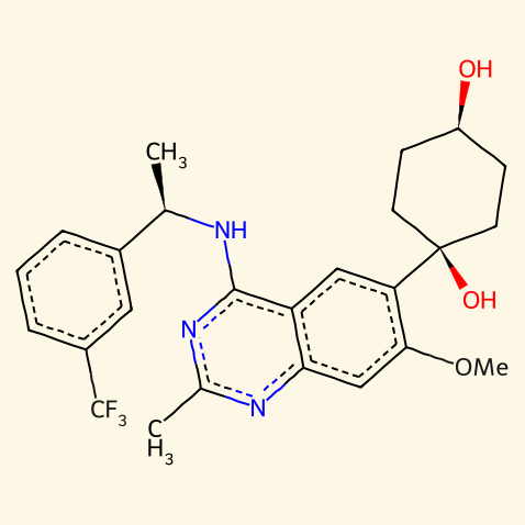 COc1cc2nc(C)nc(N[C@H](C)c3cccc(C(F)(F)F)c3)c2cc1[C@]1(O)CC[C@@H](O)CC1